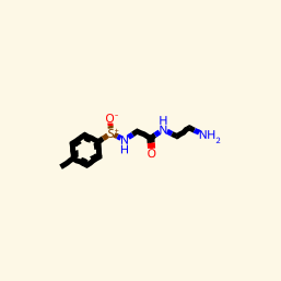 Cc1ccc([S+]([O-])NCC(=O)NCCN)cc1